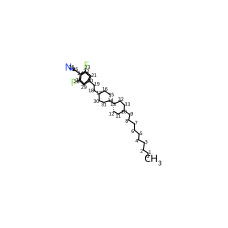 CCCCCCCCCC[C@H]1CC[C@H]([C@H]2CC[C@H](CCc3cc(F)c(C#N)c(F)c3)CC2)CC1